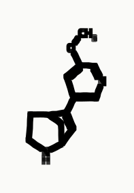 COc1cncc(C2=CC3CC2CCN3)c1